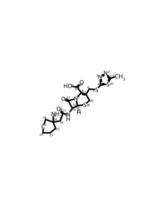 Cc1nnc(SCC2=C(C(=O)O)N3C(=O)C(NC(=O)CC4(N)CCCCC4)[C@@H]3SC2)s1